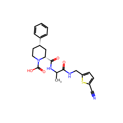 CC(NC(=O)[C@H]1C[C@@H](c2ccccc2)CCN1C(=O)O)C(=O)NCc1ccc(C#N)s1